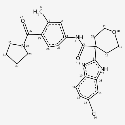 Cc1cc(NC(=O)C2(c3nc4ccc(Cl)cc4[nH]3)CCOCC2)ccc1C(=O)N1CCCC1